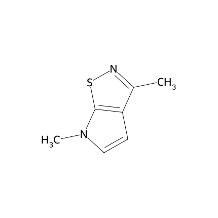 Cc1nsc2c1ccn2C